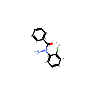 NN(C(=O)c1ccccc1)c1ccccc1Cl